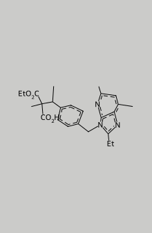 CCOC(=O)C(C)(C(=O)O)C(C)c1ccc(Cn2c(CC)nc3c(C)cc(C)nc32)cc1